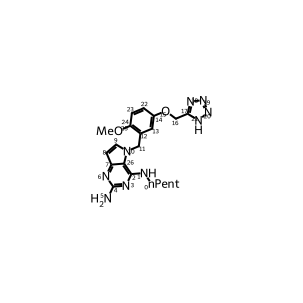 CCCCCNc1nc(N)nc2ccn(Cc3cc(OCc4nnn[nH]4)ccc3OC)c12